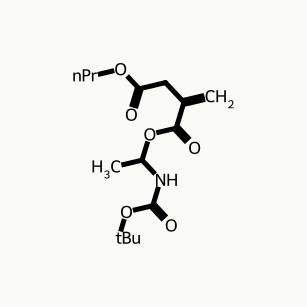 C=C(CC(=O)OCCC)C(=O)OC(C)NC(=O)OC(C)(C)C